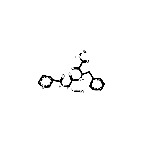 CC(C)C[C@H](NC(=O)c1cccnc1)C(=O)NC(Cc1ccccc1)C(=O)C(=O)NC(C)(C)C